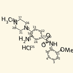 COc1ccccc1NS(=O)(=O)c1ccc(N2CCN(C)CC2)c(N)c1.Cl